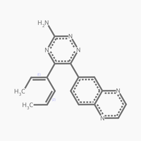 C/C=C\C(=C/C)c1nc(N)nnc1-c1ccc2nccnc2c1